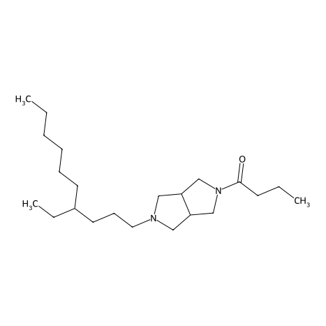 CCCCCCC(CC)CCCN1CC2CN(C(=O)CCC)CC2C1